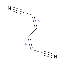 N#C/C=C\C=C/C#N